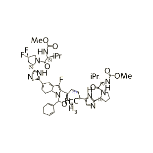 C=C(/C=C\C1=C(C)OC(C2=CCCC=C2)N2C1=C(F)C1=CC(c3cnc([C@@H]4CC(F)(F)CN4C(=O)[C@@H](NC(=O)OC)C(C)C)[nH]3)=CCC12)c1cnc([C@@H]2CCCN2C(=O)[C@@H](NC(=O)OC)C(C)C)[nH]1